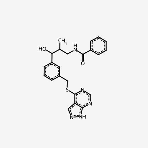 CC(CNC(=O)c1ccccc1)C(O)c1cccc(CSc2ncnc3[nH]ncc23)c1